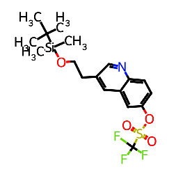 CC(C)(C)[Si](C)(C)OCCc1cnc2ccc(OS(=O)(=O)C(F)(F)F)cc2c1